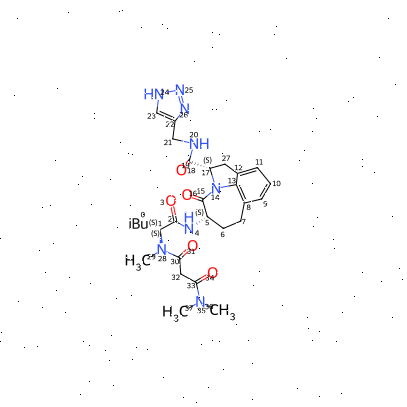 CC[C@H](C)[C@@H](C(=O)N[C@H]1CCc2cccc3c2N(C1=O)[C@H](C(=O)NCc1c[nH]nn1)C3)N(C)C(=O)CC(=O)N(C)C